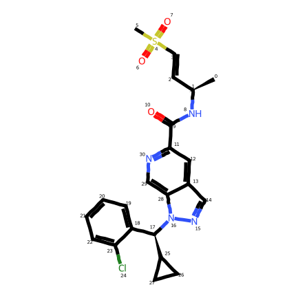 C[C@H](/C=C/S(C)(=O)=O)NC(=O)c1cc2cnn([C@H](c3ccccc3Cl)C3CC3)c2cn1